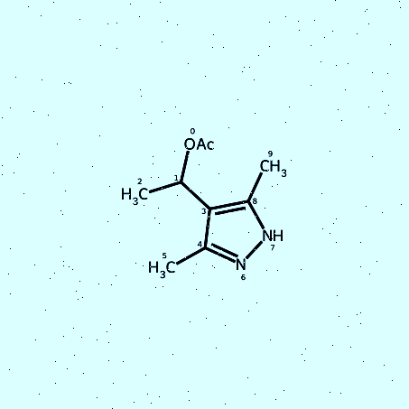 CC(=O)OC(C)c1c(C)n[nH]c1C